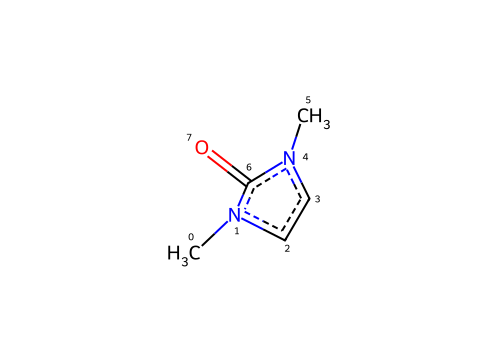 Cn1ccn(C)c1=O